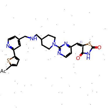 CC(=O)c1ccc(-c2cc(CNCC3CCN(c4nccc(/C=C5/SC(=O)NC5=O)n4)CC3)ccn2)s1